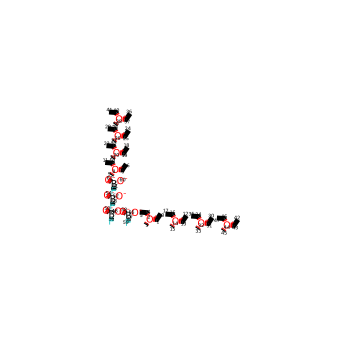 CC[O+](C)CC.CC[O+](C)CC.CC[O+](C)CC.CC[O+](C)CC.CC[O+](C)CC.CC[O+](C)CC.CC[O+](C)CC.CC[O+](C)CC.[O-]B([O-])F.[O-]B([O-])F.[O-]B([O-])F.[O-]B([O-])F